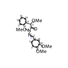 COc1ccc(/C=N/N(OC)C(=O)C(OC)c2ccccc2)cc1OC